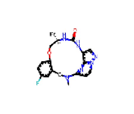 CC(C)[C@H]1COc2ccc(F)cc2CN(C)c2ccn3ncc(c3n2)NC(=O)N1